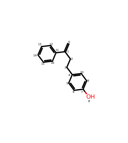 C=C(CCc1ccc(O)cc1)c1ccccc1